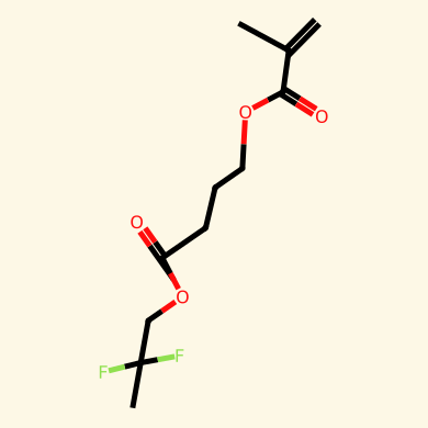 C=C(C)C(=O)OCCCC(=O)OCC(C)(F)F